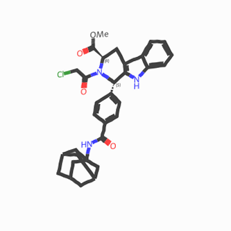 COC(=O)[C@H]1Cc2c([nH]c3ccccc23)[C@H](c2ccc(C(=O)NC34CC5CC(CC(C5)C3)C4)cc2)N1C(=O)CCl